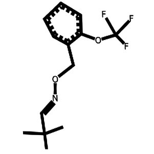 CC(C)(C)C=NOCc1ccccc1OC(F)(F)F